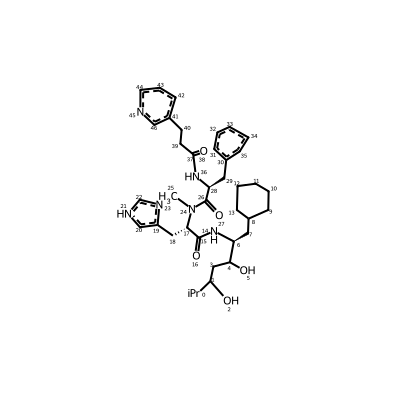 CC(C)C(O)CC(O)[C@H](CC1CCCCC1)NC(=O)[C@H](Cc1c[nH]cn1)N(C)C(=O)[C@H](Cc1ccccc1)NC(=O)CCc1cccnc1